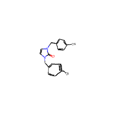 N#Cc1ccc(Cn2ccn(Cc3ccc(C#N)cc3)c2=O)cc1